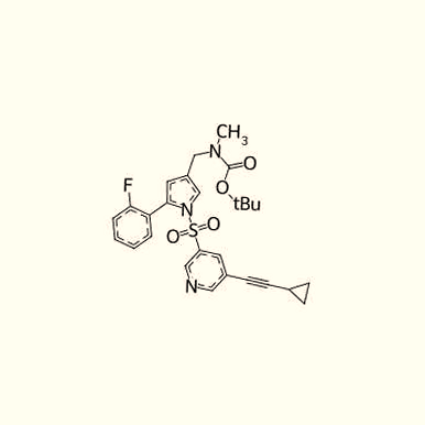 CN(Cc1cc(-c2ccccc2F)n(S(=O)(=O)c2cncc(C#CC3CC3)c2)c1)C(=O)OC(C)(C)C